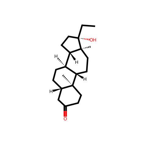 CC[C@]1(O)CC[C@H]2[C@@H]3CC[C@H]4CC(=O)CC[C@]4(C)[C@H]3CC[C@@]21C